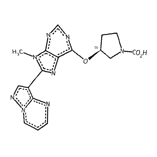 Cn1c(-c2cnn3cccnc23)nc2c(O[C@H]3CCN(C(=O)O)C3)ncnc21